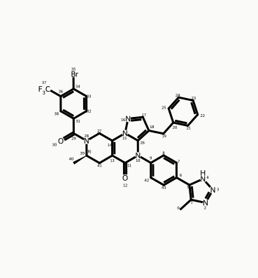 Cc1nn[nH]c1-c1ccc(-n2c(=O)c3c(n4ncc(Cc5ccccc5)c24)CN(C(=O)c2ccc(Br)c(C(F)(F)F)c2)[C@H](C)C3)cc1